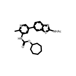 CC(=O)Nc1nc2ccc(-c3cnc(C)c(NC(=O)OC4CCCCCC4)c3)cc2s1